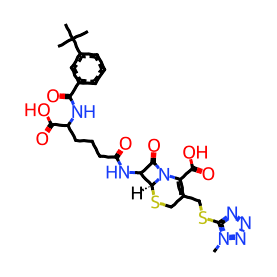 Cn1nnnc1SCC1=C(C(=O)O)N2C(=O)C(NC(=O)CCCC(NC(=O)c3cccc(C(C)(C)C)c3)C(=O)O)[C@@H]2SC1